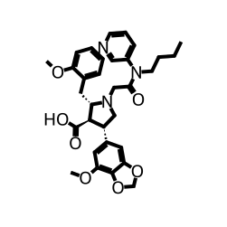 CCCCN(C(=O)CN1C[C@H](c2cc(OC)c3c(c2)OCO3)[C@@H](C(=O)O)[C@@H]1Cc1ccccc1OC)c1cccnc1